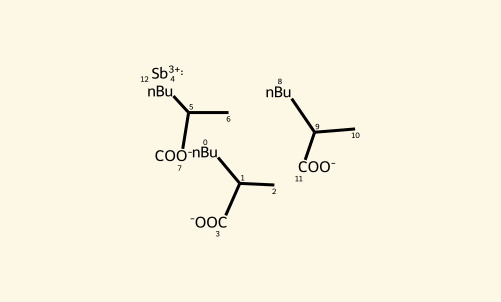 CCCCC(C)C(=O)[O-].CCCCC(C)C(=O)[O-].CCCCC(C)C(=O)[O-].[Sb+3]